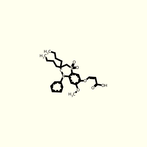 CCCCC1(CCCC)CN(c2ccccc2)c2cc(OC)c(O/C=C\C(=O)O)cc2S(=O)(=O)C1